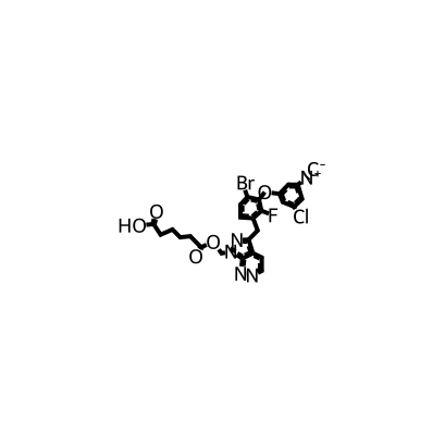 [C-]#[N+]c1cc(Cl)cc(Oc2c(Br)ccc(Cc3nn(COC(=O)CCCCC(=O)O)c4nnccc34)c2F)c1